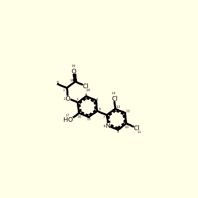 CC(Oc1ccc(-c2ncc(Cl)cc2Cl)cc1O)C(=O)Cl